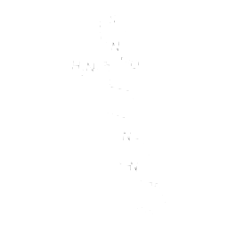 N[C@H](C(=O)N1CCSC1)[C@H]1CC[C@@H](N2CCN(c3ccccc3)CC2)CC1